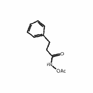 CC(=O)ONC(=O)CCc1ccccc1